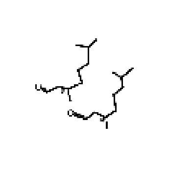 CC(C)CCC[C@@H](C)CC=O.CC(C)CCC[C@@H](C)CC=O